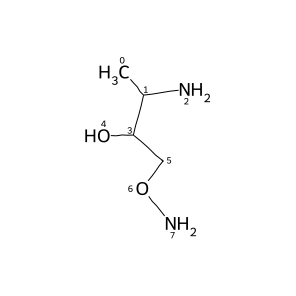 CC(N)C(O)CON